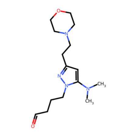 CN(C)c1cc(CCN2CCOCC2)nn1CCCC=O